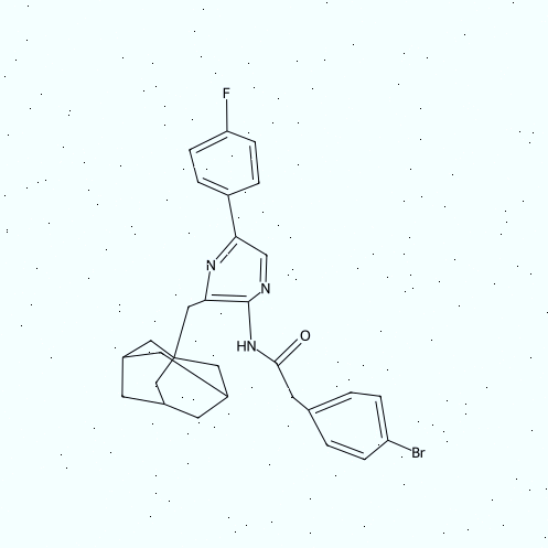 O=C(Cc1ccc(Br)cc1)Nc1ncc(-c2ccc(F)cc2)nc1CC12CC3CC(CC(C3)C1)C2